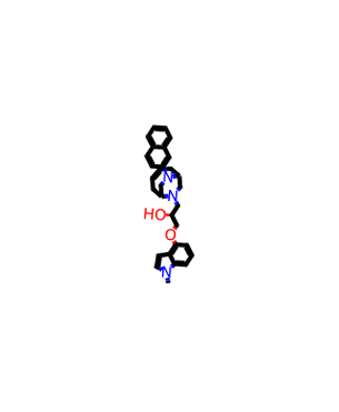 Cn1ccc2c(OC[C@@H](O)CN3CC4C/C=C\CC3CN4c3ccc4ccccc4c3)cccc21